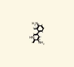 C=C1NC=C(c2cccc(N)c2C)C=C1N